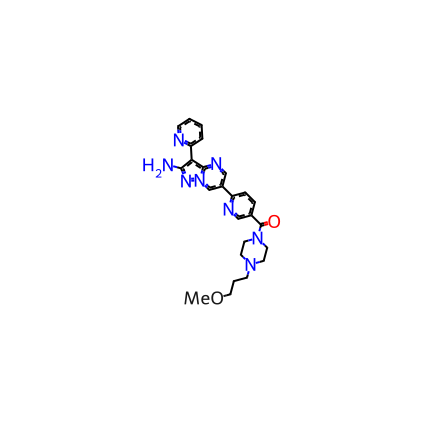 COCCCN1CCN(C(=O)c2ccc(-c3cnc4c(-c5ccccn5)c(N)nn4c3)nc2)CC1